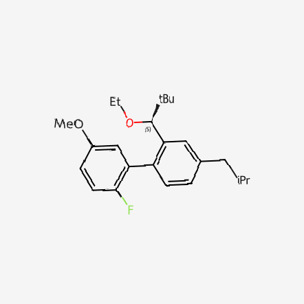 CCO[C@H](c1cc(CC(C)C)ccc1-c1cc(OC)ccc1F)C(C)(C)C